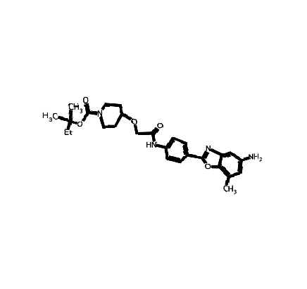 CCC(C)(C)OC(=O)N1CCC(OCC(=O)Nc2ccc(-c3nc4cc(N)cc(C)c4o3)cc2)CC1